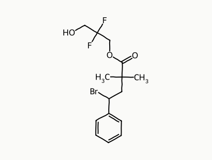 CC(C)(CC(Br)c1ccccc1)C(=O)OCC(F)(F)CO